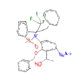 CC(O)c1c(N)ccc(N(C(Cc2ccccc2)(c2ccccc2)C(F)(F)F)S(C)(=O)=O)c1OCc1ccccc1